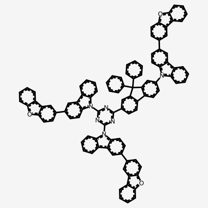 c1ccc(C2(c3ccccc3)c3cc(-c4nc(-n5c6ccccc6c6cc(-c7ccc8oc9ccccc9c8c7)ccc65)nc(-n5c6ccccc6c6cc(-c7ccc8oc9ccccc9c8c7)ccc65)n4)ccc3-c3ccc(-n4c5ccccc5c5cc(-c6ccc7oc8ccccc8c7c6)ccc54)cc32)cc1